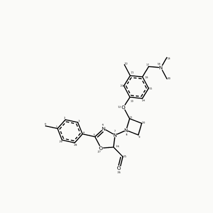 Cc1ccc(C2=NN(N3CCC3Oc3ccc(CN(C)C)c(C)c3)C(C=O)O2)cc1